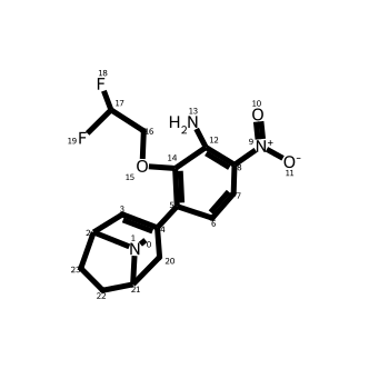 CN1C2C=C(c3ccc([N+](=O)[O-])c(N)c3OCC(F)F)CC1CC2